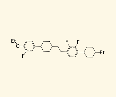 CCOc1ccc(C2CCC(CCc3ccc(C4CCC(CC)CC4)c(F)c3F)CC2)cc1F